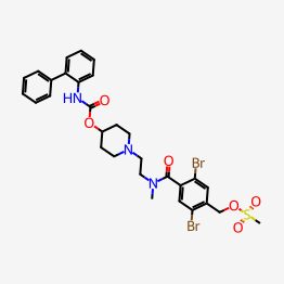 CN(CCN1CCC(OC(=O)Nc2ccccc2-c2ccccc2)CC1)C(=O)c1cc(Br)c(COS(C)(=O)=O)cc1Br